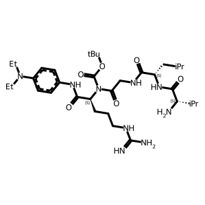 CCN(CC)c1ccc(NC(=O)[C@H](CCCNC(=N)N)N(C(=O)CNC(=O)[C@H](CC(C)C)NC(=O)[C@@H](N)C(C)C)C(=O)OC(C)(C)C)cc1